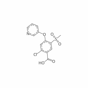 CS(=O)(=O)c1cc(C(=O)O)c(Cl)cc1Oc1cccnc1